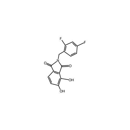 O=C1c2ccc(O)c(O)c2C(=O)N1Cc1ccc(F)cc1F